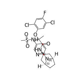 CC(C)(Oc1cc(Cl)c(F)cc1Cl)C(=O)N[C@H]1C[C@H]2CC[C@@H](C1)N2c1ccc(NS(C)(=O)=O)cn1